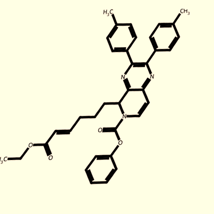 CCOC(=O)C=CCCCC1c2nc(-c3ccc(C)cc3)c(-c3ccc(C)cc3)nc2C=CN1C(=O)Oc1ccccc1